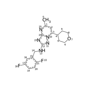 Cc1cc(C2CCOCC2)n2nc(NCc3cc(F)ccc3F)nc2n1